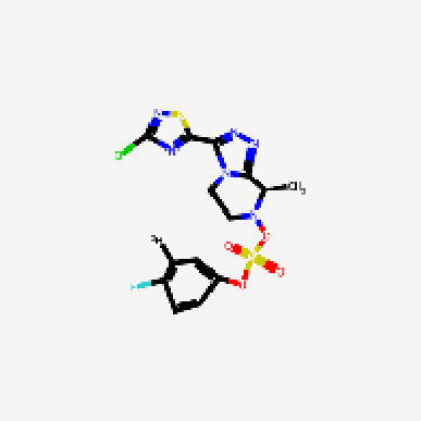 [2H]c1cc(OS(=O)(=O)ON2CCn3c(-c4nc(Cl)ns4)nnc3[C@H]2C)ccc1F